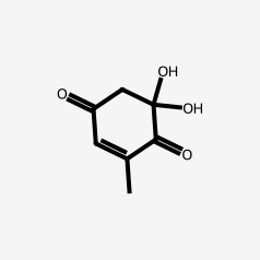 CC1=CC(=O)CC(O)(O)C1=O